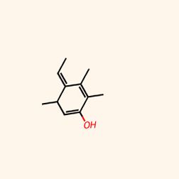 CC=C1C(C)=C(C)C(O)=CC1C